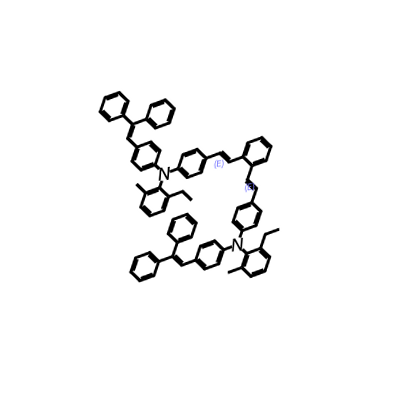 CCc1cccc(C)c1N(c1ccc(C=C(c2ccccc2)c2ccccc2)cc1)c1ccc(/C=C/c2ccccc2/C=C/c2ccc(N(c3ccc(C=C(c4ccccc4)c4ccccc4)cc3)c3c(C)cccc3CC)cc2)cc1